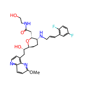 COc1ccc2nccc(C[C@H](O)[C@@H]3CC[C@@H](NCC=Cc4cc(F)ccc4F)[C@@H](CC(=O)NCCO)O3)c2n1